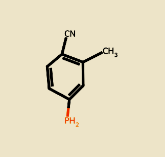 Cc1cc(P)ccc1C#N